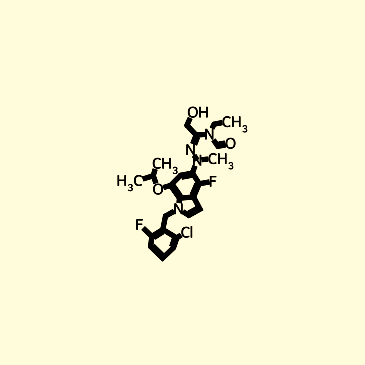 CCN(C=O)/C(CO)=N\N(C)c1cc(OC(C)C)c2c(ccn2Cc2c(F)cccc2Cl)c1F